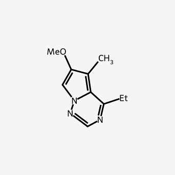 CCc1ncnn2cc(OC)c(C)c12